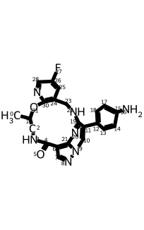 CC1CNC(=O)c2cnn3cc(-c4ccc(N)cc4)c(nc23)NCc2cc(F)cnc2O1